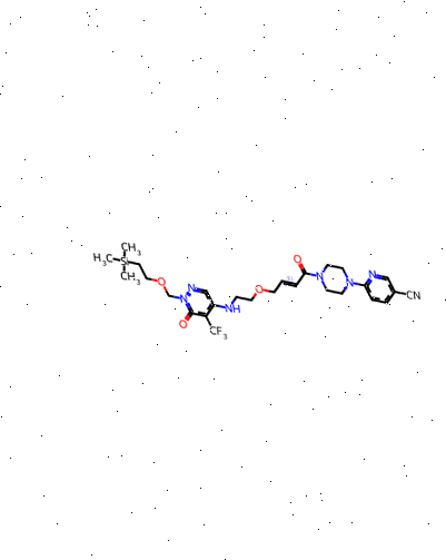 C[Si](C)(C)CCOCn1ncc(NCCOC/C=C/C(=O)N2CCN(c3ccc(C#N)cn3)CC2)c(C(F)(F)F)c1=O